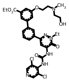 CCOC(=O)c1cc(OCCN(C)CCO)cc(-c2cccc(-c3cc(NC(=O)Nc4c(Cl)cncc4Cl)c(=O)n(CC)n3)c2)c1